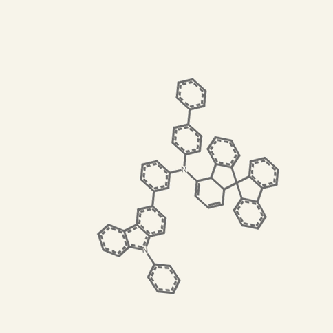 C1=CC2C(C(N(c3ccc(-c4ccccc4)cc3)c3cccc(-c4ccc5c(c4)c4ccccc4n5-c4ccccc4)c3)=C1)c1ccccc1C21c2ccccc2-c2ccccc21